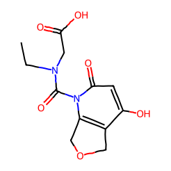 CCN(CC(=O)O)C(=O)n1c2c(c(O)cc1=O)COC2